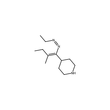 CC/N=N\C(=C(\C)CC)C1CCNCC1